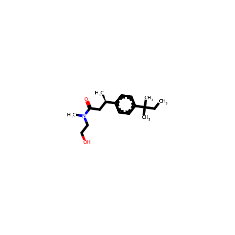 CCC(C)(C)c1ccc([C@H](C)CC(=O)N(C)CCO)cc1